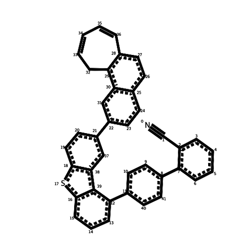 N#Cc1ccccc1-c1ccc(-c2cccc3sc4ccc(-c5ccc6ccc7c(c6c5)CC=CC=C7)cc4c23)cc1